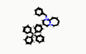 c1ccc(C[N+]2=C3CCCCCN3CCC2)cc1.c1ccc([B-](c2ccccc2)(c2ccccc2)c2ccccc2)cc1